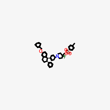 Cc1ccc(S(=O)(=O)OCC2(F)CCN(C3C=CC([C@@H]4c5ccc(OCc6ccccc6)cc5CC[C@@H]4c4ccccc4)=CC3)CC2)cc1